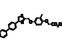 CCOC(=O)COc1ccc(OCc2nc(-c3ccc(-c4ccccc4)cc3)cs2)cc1C